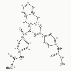 CC(C)(C)OC(=O)Nc1ccc(C(=O)O[C@H]2Cc3ccccc3C[C@H]2OC(=O)c2ccc(NC(=O)OC(C)(C)C)cc2)cc1